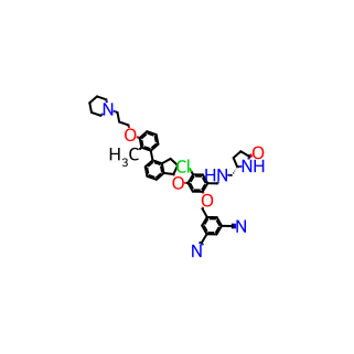 Cc1c(OCCCN2CCCCC2)cccc1-c1cccc2c1CC[C@@H]2Oc1cc(OCc2cc(C#N)cc(C#N)c2)c(CNC[C@@H]2CCC(=O)N2)cc1Cl